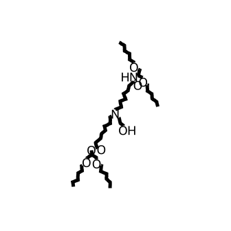 CCCCCCOCC(COCCCCCC)NC(=O)CCCCCCCN(CCCO)CCCCCCCC(=O)OC(COCCCCCC)COCCCCCC